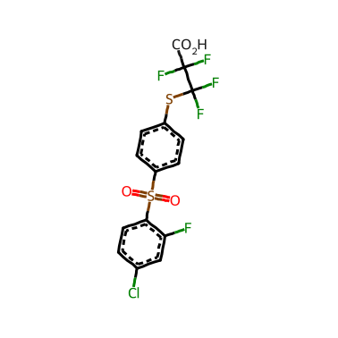 O=C(O)C(F)(F)C(F)(F)Sc1ccc(S(=O)(=O)c2ccc(Cl)cc2F)cc1